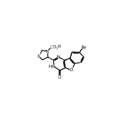 O=C(O)N1CSCC1c1nc2c(oc3ccc(Br)cc32)c(=O)[nH]1